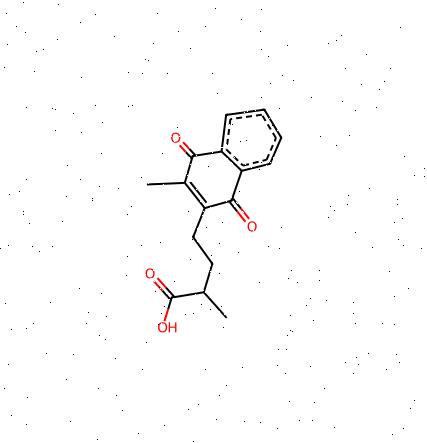 CC1=C(CCC(C)C(=O)O)C(=O)c2ccccc2C1=O